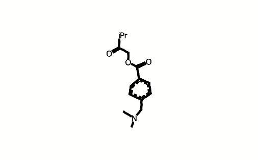 CC(C)C(=O)COC(=O)c1ccc(CN(C)C)cc1